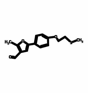 CSCCOc1ccc(-c2cc(C=O)c(C)o2)cc1